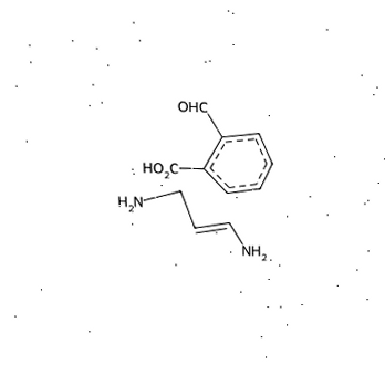 NC=CCN.O=Cc1ccccc1C(=O)O